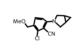 COCc1ccc(N2CC3CC3C2)c(C#N)c1Cl